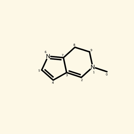 CN1C=C2C=CN=C2CC1